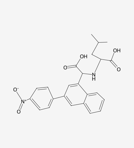 CC(C)CC(NC(C(=O)O)c1cc(-c2ccc([N+](=O)[O-])cc2)cc2ccccc12)C(=O)O